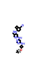 CC(C)(C)[Si](C)(C)O[C@H]1C[C@@H](Nc2cc(Nc3cc4c(cn3)cnn4-c3ccc(C#N)c4c3CC4)ncn2)C1